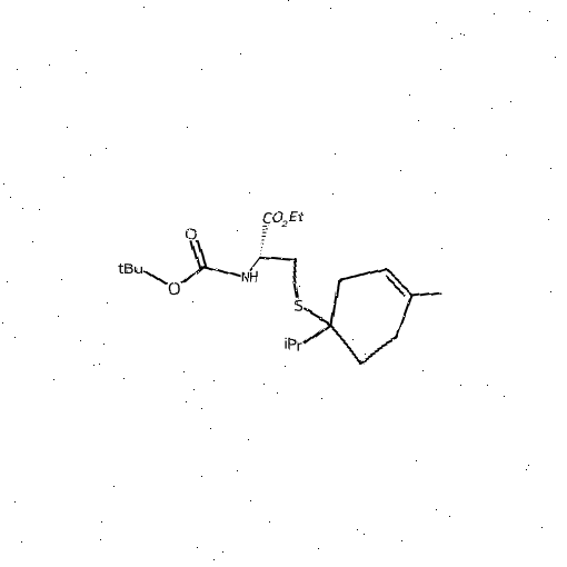 CCOC(=O)[C@H](CSC1(C(C)C)CC=C(C)CC1)NC(=O)OC(C)(C)C